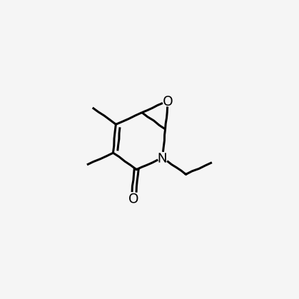 CCN1C(=O)C(C)=C(C)C2OC21